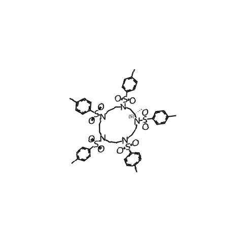 Cc1ccc(S(=O)(=O)N2CCN(S(=O)(=O)c3ccc(C)cc3)CCN(S(=O)(=O)c3ccc(C)cc3)C[C@H](C)N(S(=O)(=O)c3ccc(C)cc3)CCN(S(=O)(=O)c3ccc(C)cc3)CC2)cc1